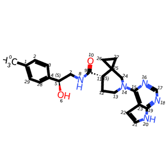 Cc1ccc([C@H](O)CNC(=O)[C@H]2CCN(c3ncnc4[nH]ccc34)CC23CC3)cc1